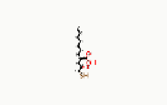 CCCCCCC[C@H](CC(=O)CS)C(=O)O